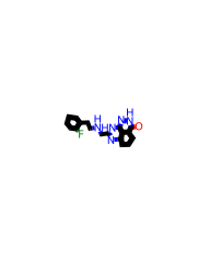 O=c1[nH]nc2c3c(cccc13)N=C(CNCCc1ccccc1F)N2